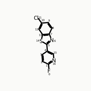 Fc1ccc(-c2nc3ccc(Cl)cc3s2)cn1